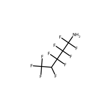 NC(F)(F)C(F)(F)C(F)(F)C(F)C(F)(F)F